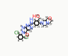 CN1CN(c2c(Cl)cccc2Cl)C(=O)c2cnc(Nc3ccc(N4CCN5CCOCC5C4)c(CO)c3)nc21